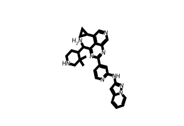 CC1(C)CNCCC1C(N)c1nc(-c2ccnc(Nc3cc4ccccn4n3)c2)nc2cncc(C3CC3)c12